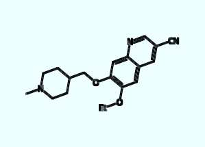 CCOc1cc2cc(C#N)cnc2cc1OCC1CCN(C)CC1